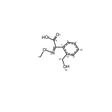 CON=C(C(=O)O)c1ccccc1CO